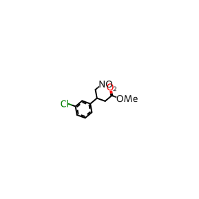 COC(=O)CC(C[N+](=O)[O-])c1cccc(Cl)c1